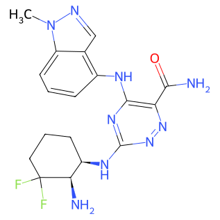 Cn1ncc2c(Nc3nc(N[C@@H]4CCCC(F)(F)[C@@H]4N)nnc3C(N)=O)cccc21